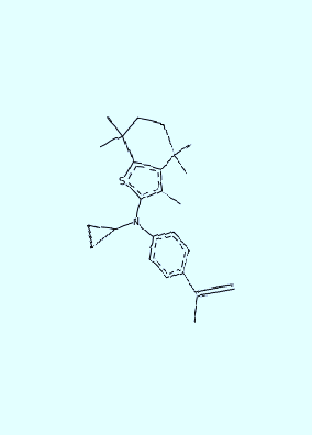 C=C(C)c1ccc(N(c2sc3c(c2C)C(C)(C)CCC3(C)C)C2CC2)cc1